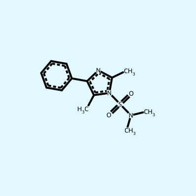 Cc1nc(-c2ccccc2)c(C)n1S(=O)(=O)N(C)C